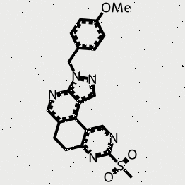 COc1ccc(Cn2ncc3c4c(cnc32)CCc2nc(S(C)(=O)=O)ncc2-4)cc1